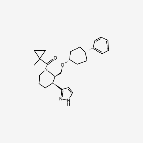 CC1(C(=O)N2CCC[C@H](c3cc[nH]n3)[C@@H]2CO[C@H]2CC[C@@H](c3ccccc3)CC2)CC1